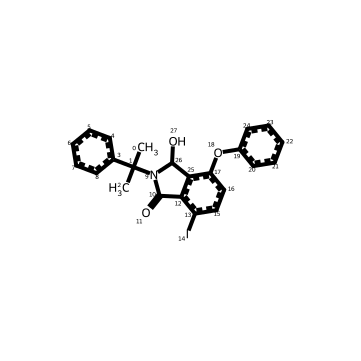 CC(C)(c1ccccc1)N1C(=O)c2c(I)ccc(Oc3ccccc3)c2C1O